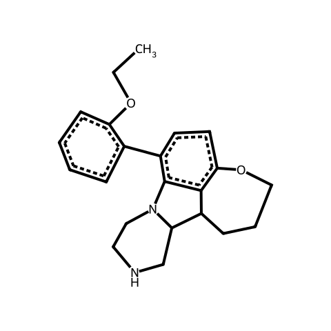 CCOc1ccccc1-c1ccc2c3c1N1CCNCC1C3CCCO2